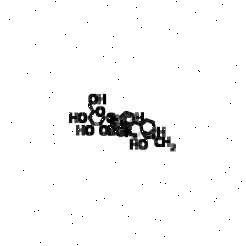 C=C1[C@@H]2CC[C@H]3[C@]4(C)CCC[C@@](C)(C(=O)O[C@@H]5O[C@H](CO)[C@@H](O)[C@H](O)[C@H]5O)[C@H]4CC[C@]3(C2)[C@@H]1O